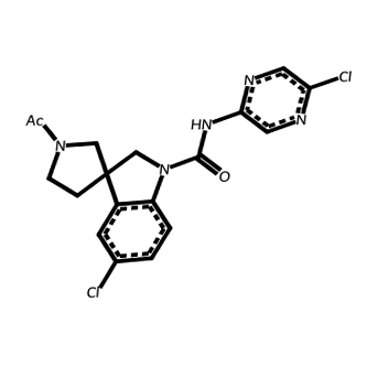 CC(=O)N1CCC2(C1)CN(C(=O)Nc1cnc(Cl)cn1)c1ccc(Cl)cc12